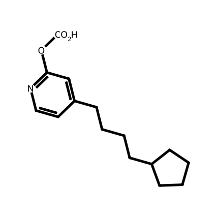 O=C(O)Oc1cc(CCCCC2CCCC2)ccn1